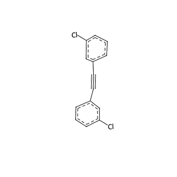 Clc1cccc(C#Cc2cccc(Cl)c2)c1